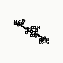 CCO[Si](C)(CCCNC(=O)C1C(C(=O)O)C(C(=O)NCCC[Si](C)(OCC)OCC)C1C(=O)O)OCC